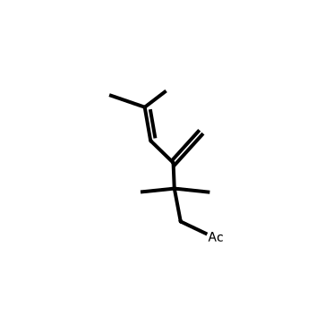 C=C(C=C(C)C)C(C)(C)CC(C)=O